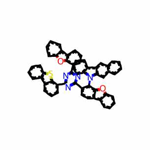 c1ccc2cc3c(cc2c1)c1ccccc1n3-c1c(-c2nc(-c3cccc4c3oc3ccccc34)nc(-c3cccc4c3sc3ccccc34)n2)ccc2c1oc1ccccc12